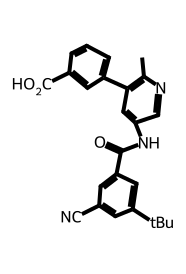 Cc1ncc(NC(=O)c2cc(C#N)cc(C(C)(C)C)c2)cc1-c1cccc(C(=O)O)c1